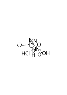 Cl.O=C(O)CNC(=O)c1c(O)cc(CCC2CCCC2)n2ncnc12